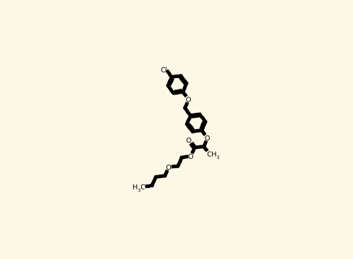 CCCCOCCOC(=O)C(C)Oc1ccc(COc2ccc(Cl)cc2)cc1